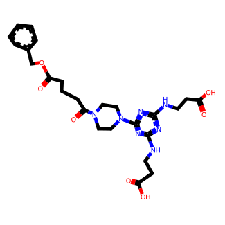 O=C(O)CCNc1nc(NCCC(=O)O)nc(N2CCN(C(=O)CCCC(=O)OCc3ccccc3)CC2)n1